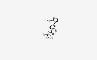 CC(C)(C)OC(=O)c1ccc(-c2cccnc2N)cc1F